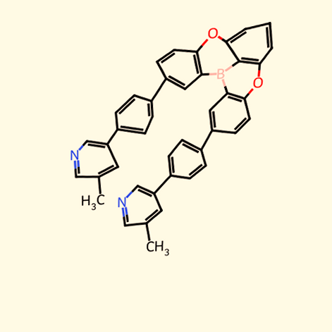 Cc1cncc(-c2ccc(-c3ccc4c(c3)B3c5cc(-c6ccc(-c7cncc(C)c7)cc6)ccc5Oc5cccc(c53)O4)cc2)c1